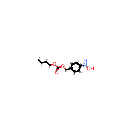 CCCCOC(=O)OCc1ccc(NO)cc1